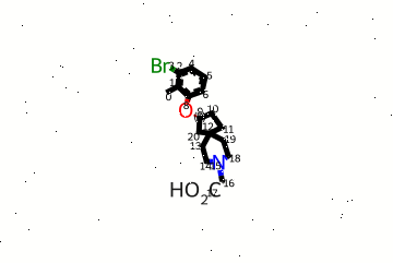 Cc1c(Br)cccc1O[C@@H]1CCC2(CCN(CC(=O)O)CC2)C1